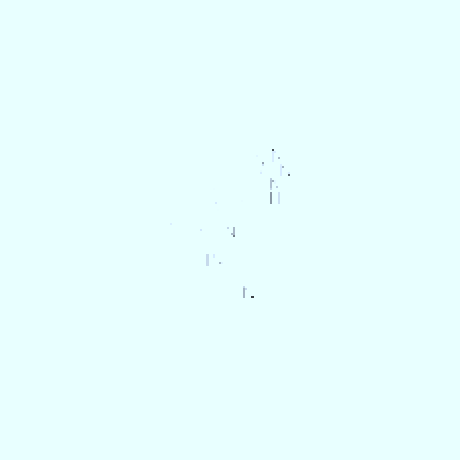 CN(C)CCNc1nc2cc(-c3nnn[nH]3)c#cc2c2ccccc12